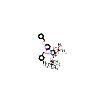 CC1(C)O[C@@H]2[C@H](O1)[C@@H](CO[Si](C)(C)C(C)(C)C)N[C@H]2c1ccc(OCc2ccccc2)nc1OCc1ccccc1